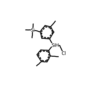 Cc1cc([SiH](CCl)c2ccc(C)cc2C)cc([Si](C)(C)C)c1